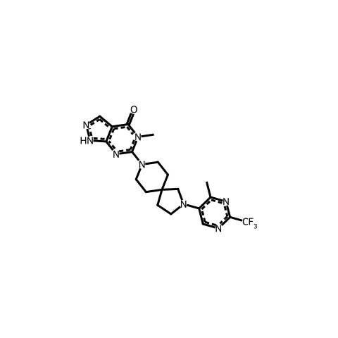 Cc1nc(C(F)(F)F)ncc1N1CCC2(CCN(c3nc4[nH]ncc4c(=O)n3C)CC2)C1